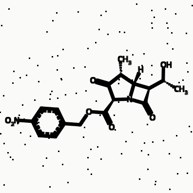 C[C@@H](O)[C@H]1C(=O)N2[C@@H](C(=O)OCc3ccc([N+](=O)[O-])cc3)C(=O)[C@H](C)[C@H]12